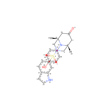 O=C1C[C@@H]2CN(S(=O)(=O)c3ccc4cc[nH]c4c3)C[C@H](C1)N2c1ccc(O)cc1